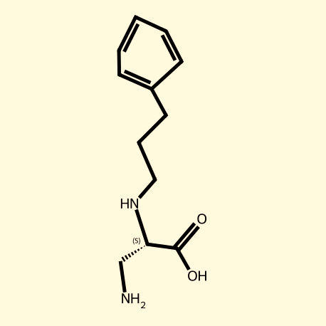 NC[C@H](NCCCc1ccccc1)C(=O)O